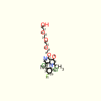 Cc1cc(=O)c2c(OCCOCCOCCOCCO)ncc(Cl)c2n1-c1c(Cl)cc(F)cc1C#N